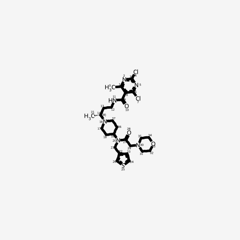 Cc1nc(Cl)nc(Cl)c1C(=O)NCC[C@@H](C)N1CCC(N(Cc2ccsc2)C(=O)CN2CCOCC2)CC1